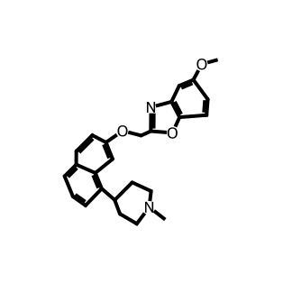 COc1ccc2oc(COc3ccc4cccc(C5CCN(C)CC5)c4c3)nc2c1